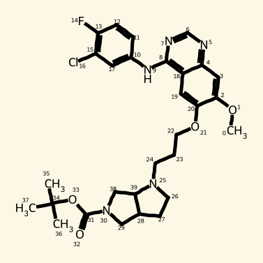 COc1cc2ncnc(Nc3ccc(F)c(Cl)c3)c2cc1OCCCN1CCC2CN(C(=O)OC(C)(C)C)CC21